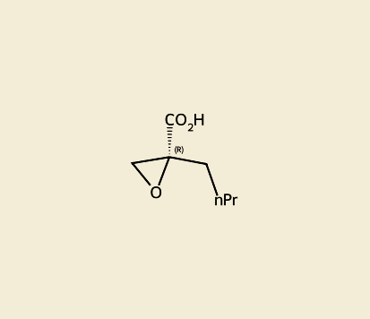 CCCC[C@]1(C(=O)O)CO1